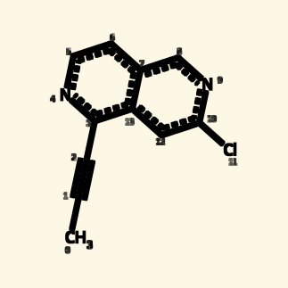 CC#Cc1nccc2cnc(Cl)cc12